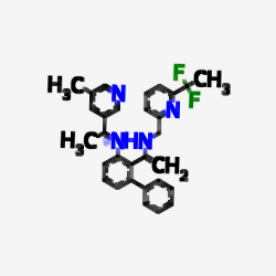 C=C(NCc1cccc(C(C)(F)F)n1)c1c(/N=C(\C)c2cncc(C)c2)cccc1-c1ccccc1